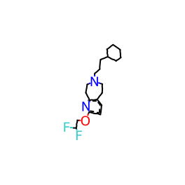 FC(F)COc1ccc2c(n1)CCN(CCCC1CCCCC1)CC2